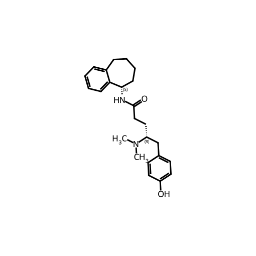 CN(C)[C@H](CCC(=O)N[C@H]1CCCCc2ccccc21)Cc1ccc(O)cc1